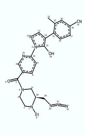 CCN1CCN(C(=O)c2ccc(-n3ncc(-c4ccc(C#N)cc4C)c3O)nc2)C[C@H]1CN=[N+]=[N-]